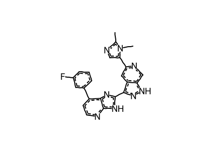 Cc1ncc(-c2cc3c(-c4nc5c(-c6cccc(F)c6)ccnc5[nH]4)n[nH]c3cn2)n1C